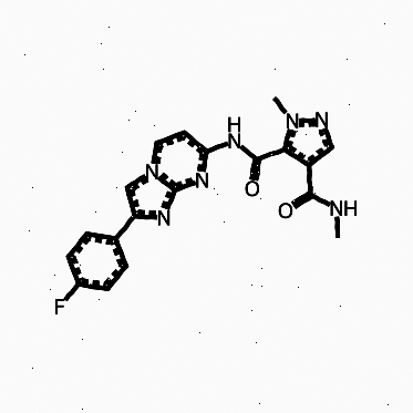 CNC(=O)c1cnn(C)c1C(=O)Nc1ccn2cc(-c3ccc(F)cc3)nc2n1